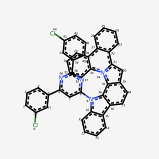 Clc1cccc(-c2cc(-n3c4ccccc4c4ccc5cc6c7ccccc7c7ccccc7n6c5c43)nc(-c3cccc(Cl)c3)n2)c1